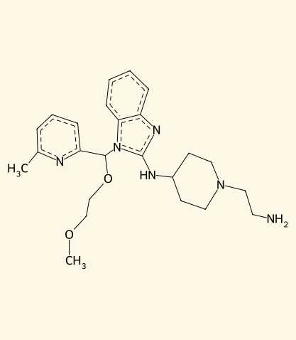 COCCOC(c1cccc(C)n1)n1c(NC2CCN(CCN)CC2)nc2ccccc21